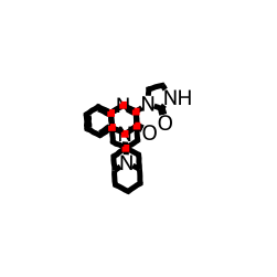 O=C1NCCN1c1nc2ccccc2n(C2CC3CCCC(C2)N3C2CC3CCCC(C3)C2)c1=O